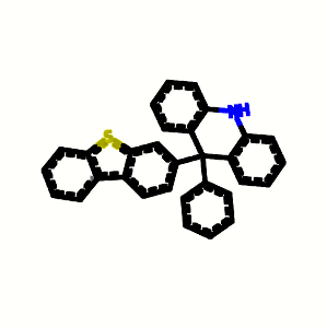 c1ccc(C2(c3ccc4c(c3)sc3ccccc34)c3ccccc3Nc3ccccc32)cc1